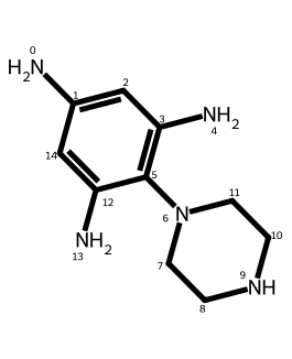 Nc1cc(N)c(N2CCNCC2)c(N)c1